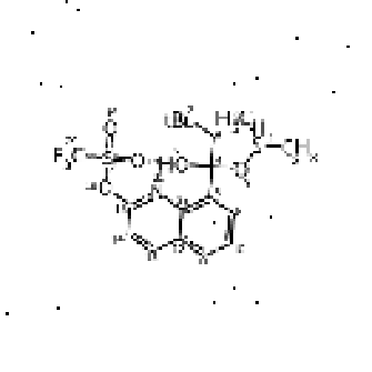 C[SiH](C)OC(O)(CC(C)(C)C)c1cccc2ccc(OS(=O)(=O)C(F)(F)F)nc12